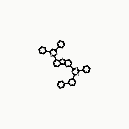 c1ccc(-c2cccc(-c3nc(-c4ccccc4)nc(-c4ccc5sc6c(-c7nc(-c8ccccc8)cc(-c8ccccc8)n7)cccc6c5c4)n3)c2)cc1